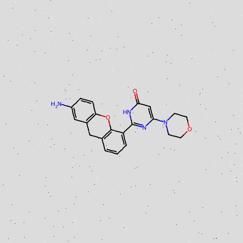 Nc1ccc2c(c1)Cc1cccc(-c3nc(N4CCOCC4)cc(=O)[nH]3)c1O2